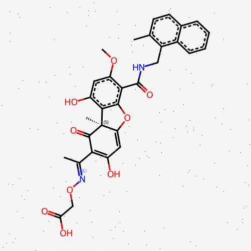 COc1cc(O)c2c(c1C(=O)NCc1c(C)ccc3ccccc13)OC1=CC(O)=C(/C(C)=N/OCC(=O)O)C(=O)[C@]12C